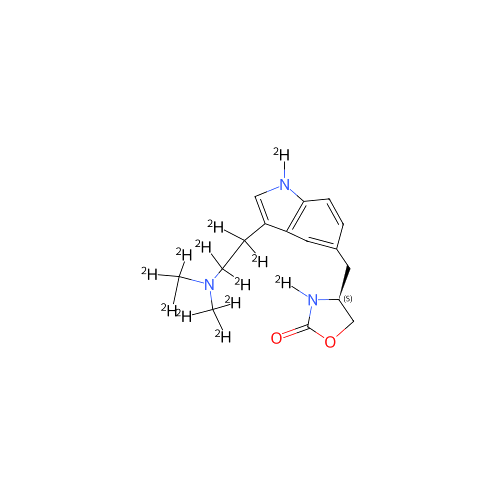 [2H]N1C(=O)OC[C@@H]1Cc1ccc2c(c1)c(C([2H])([2H])C([2H])([2H])N(C([2H])([2H])[2H])C([2H])([2H])[2H])cn2[2H]